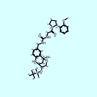 CSc1ccccc1[C@@H]1CCCN1C(=O)CNC(=O)NCc1ccc2c(c1)[C@H]1CC(N2)[C@H](O[Si](C)(C)C(C)(C)C)CO1